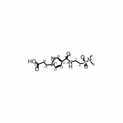 CN(C)S(=O)(=O)CCNC(=O)c1cc[n+](CCC(=O)O)nc1